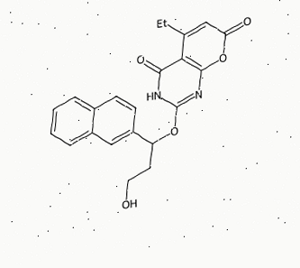 CCc1cc(=O)oc2nc(OC(CCO)c3ccc4ccccc4c3)[nH]c(=O)c12